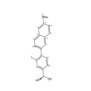 CCC[C@H](O)c1cc(C)c(-c2cc3cnc(NC(C)=O)cc3cn2)cn1